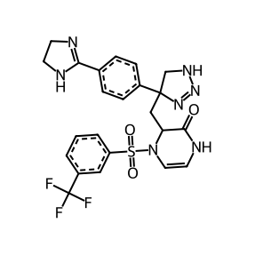 O=C1NC=CN(S(=O)(=O)c2cccc(C(F)(F)F)c2)C1CC1(c2ccc(C3=NCCN3)cc2)CNN=N1